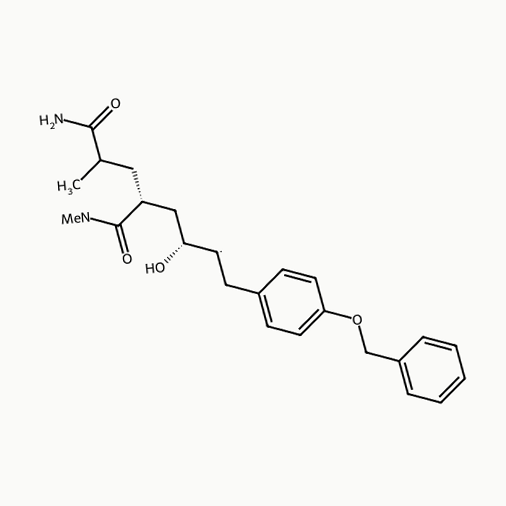 CNC(=O)[C@H](CC(C)C(N)=O)C[C@@H](O)[CH]Cc1ccc(OCc2ccccc2)cc1